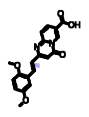 COc1ccc(OC)c(/C=C/c2cc(=O)n3cc(C(=O)O)ccc3n2)c1